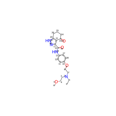 CCN(CCOC)CCOc1ccc(NC(=O)c2n[nH]c3c2C(=O)CCC3)cc1